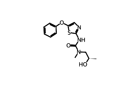 C[C@H](O)CN(C)C(=O)Nc1ncc(Oc2ccccc2)s1